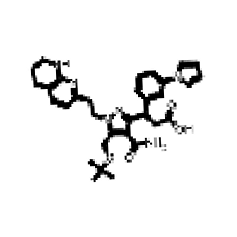 CC(C)(C)OCc1c(C(N)=O)c(C(CC(=O)O)c2cccc(-n3cccc3)c2)nn1CCc1ccc2c(n1)NCCC2